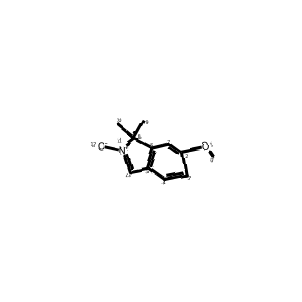 COc1ccc2c(c1)C(C)(C)[N+]([O-])=C2